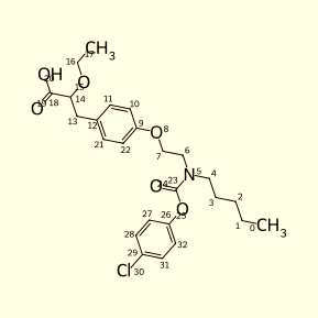 CCCCCN(CCOc1ccc(CC(OCC)C(=O)O)cc1)C(=O)Oc1ccc(Cl)cc1